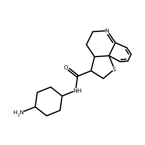 NC1CCC(NC(=O)C2CSC34C=CC=CC3=NCCC24)CC1